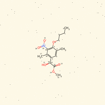 CCCCOc1c(C)cc([C@H](O)C(=O)OC)c(C)c1[N+](=O)[O-]